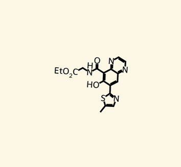 CCOC(=O)CNC(=O)c1c(O)c(-c2ncc(C)s2)cc2nccnc12